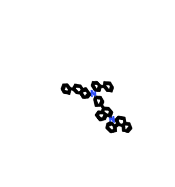 c1ccc(-c2cccc(N(c3ccc(-c4ccc(-n5c6ccccc6c6c7ccccc7ccc65)c5ccccc45)cc3)c3ccc4cc(-c5ccccc5)ccc4c3)c2)cc1